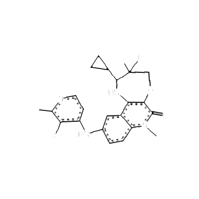 Cn1c(=O)c2c(c3cc(Nc4ccnc(Cl)c4F)ccc31)NC(C1CC1)C(F)(F)CO2